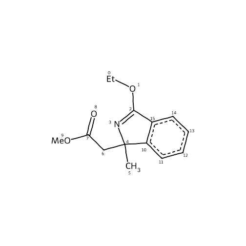 CCOC1=NC(C)(CC(=O)OC)c2ccccc21